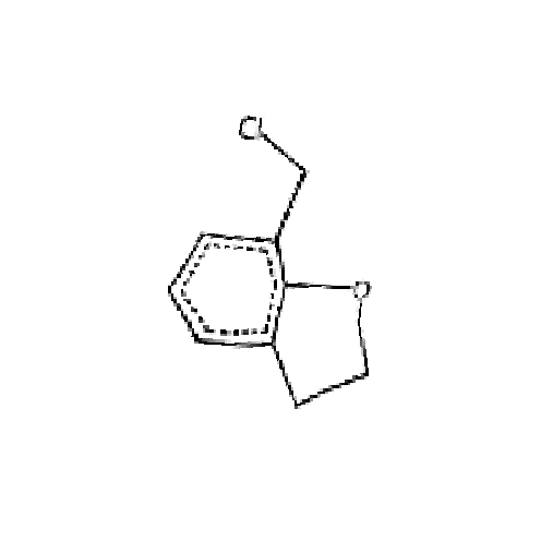 ClCc1cccc2c1OCC2